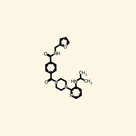 CC(C)Nc1cccnc1N1CCN(C(=O)c2ccc(C(=O)NCc3ccco3)cc2)CC1